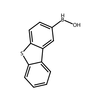 OBc1ccc2sc3ccccc3c2c1